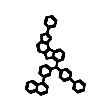 c1ccc(-c2ccc(N(c3cccc(-c4cccc5ccccc45)c3)c3cccc4c3oc3ccc5oc(-c6ccccc6)nc5c34)cc2)cc1